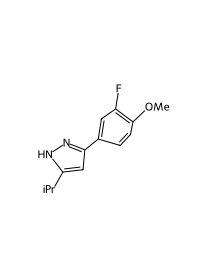 COc1ccc(-c2cc(C(C)C)[nH]n2)cc1F